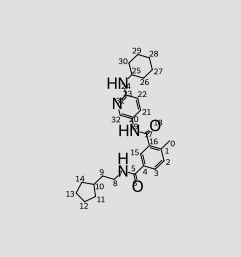 Cc1ccc(C(=O)NCCC2CCCC2)cc1C(=O)Nc1ccc(NC2CCCCC2)nc1